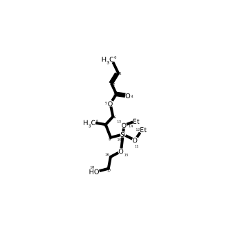 CC=CC(=O)OCC(C)C[Si](OCC)(OCC)OCCO